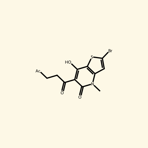 CC(=O)CCC(=O)c1c(O)c2sc(Br)cc2n(C)c1=O